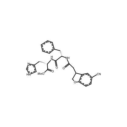 COC(=O)[C@H](Cc1c[nH]cn1)NC(=O)[C@H](Cc1ccccc1)NC(=O)CC1COc2ccc(C#N)cc21